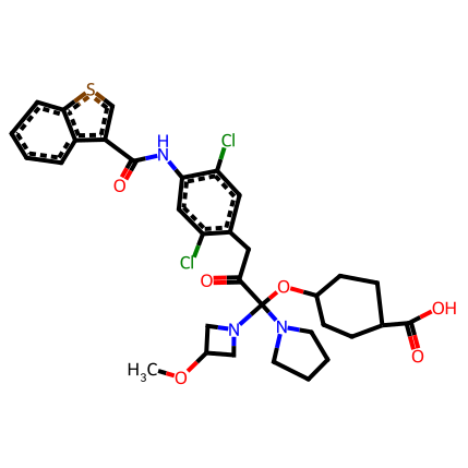 COC1CN(C(OC2CCC(C(=O)O)CC2)(C(=O)Cc2cc(Cl)c(NC(=O)c3csc4ccccc34)cc2Cl)N2CCCC2)C1